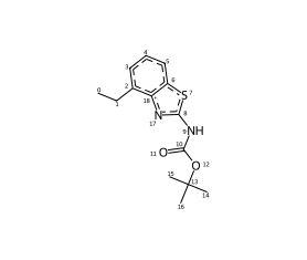 CCc1cccc2sc(NC(=O)OC(C)(C)C)nc12